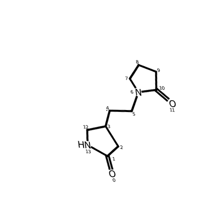 O=C1CC([CH]CN2CCCC2=O)CN1